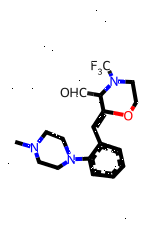 CN1CCN(c2ccccc2C=C2OCCN(C(F)(F)F)C2C=O)CC1